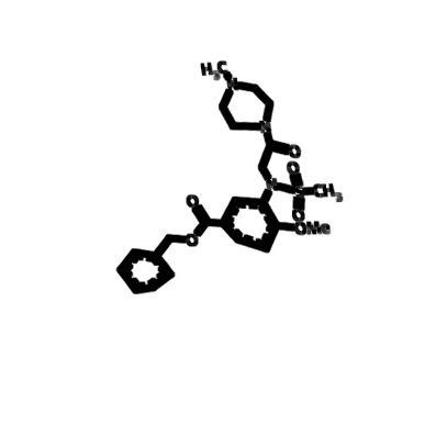 COc1ccc(C(=O)OCc2ccccc2)cc1N(CC(=O)N1CCN(C)CC1)S(C)(=O)=O